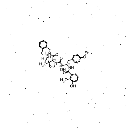 CCOc1ccc(C[C@H](NC(=O)c2cccc(O)c2C)[C@H](O)C(=O)N2CSC(C)(C)[C@H]2C(=O)NCc2ccccc2C)cc1